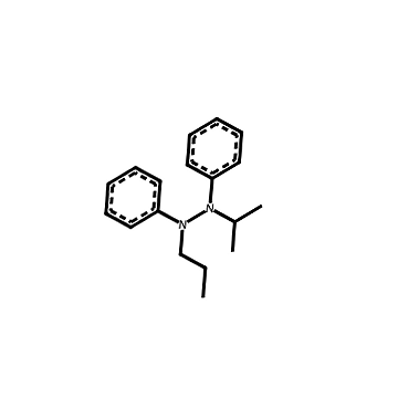 CCCN(c1ccccc1)N(c1ccccc1)C(C)C